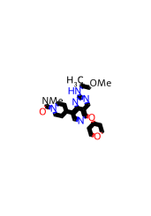 CNC(=O)N1CCC(c2cnc(OC3CCOCC3)c3cnc(N[C@@H](C)COC)nc23)CC1